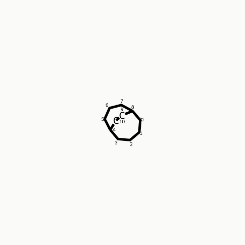 [CH]1CCCC2CCCC1CC2